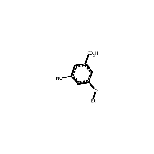 CCOc1cc(C#N)cc(C(=O)O)c1